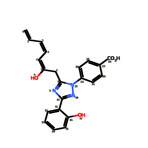 C=C/C=C\C=C(\O)Cc1nc(-c2ccccc2O)nn1-c1ccc(C(=O)O)cc1